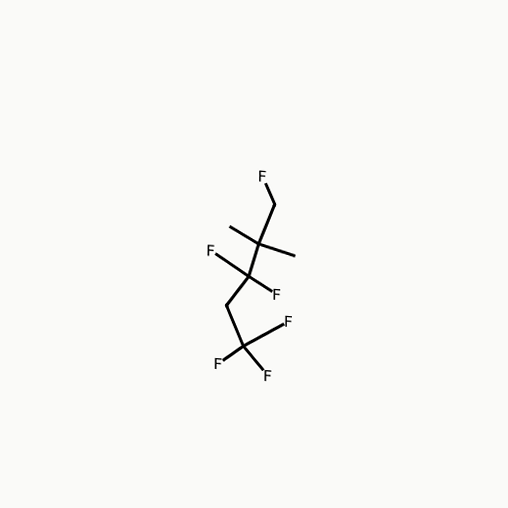 CC(C)(CF)C(F)(F)CC(F)(F)F